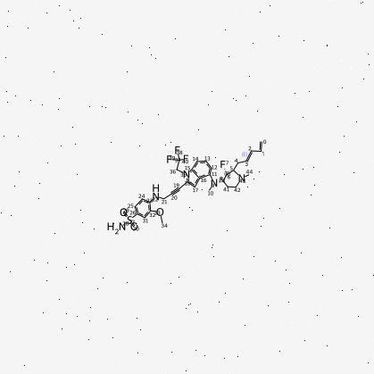 C=C/C=C/CC1[C@@H](F)[C@@H](N(C)c2cccc3c2cc(C#CCNc2ccc(S(N)(=O)=O)cc2OC)n3CC(F)(F)F)CCN1C